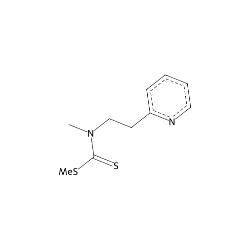 CSC(=S)N(C)CCc1ccccn1